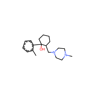 Cc1ccccc1C1(O)CCCCC1CN1CCN(C)CC1